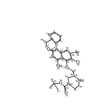 CC(C)c1ncccc1-n1c(=O)nc(O)c2c(OC[C@@H]3CN(C(=O)OC(C)(C)C)CCN3)c(Cl)c(Br)cc21